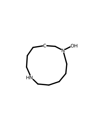 ON1CCCCCNCCCCC1